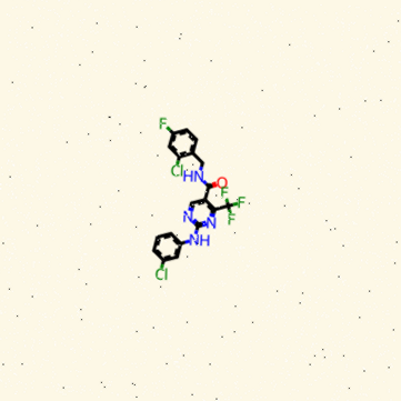 O=C(NCc1ccc(F)cc1Cl)c1cnc(Nc2cccc(Cl)c2)nc1C(F)(F)F